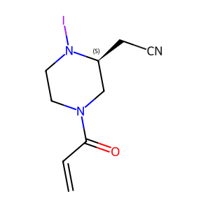 C=CC(=O)N1CCN(I)[C@@H](CC#N)C1